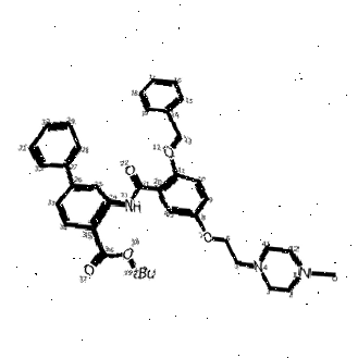 CN1CCN(CCOc2ccc(OCc3ccccc3)c(C(=O)Nc3cc(-c4ccccc4)ccc3C(=O)OC(C)(C)C)c2)CC1